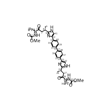 COC(=O)NN(C(=O)C[C@@H](C)c1nc(-c2ccc(-c3ccc(-c4c[nH]c([C@H](C)CC(=O)N(NC(=O)OC)C(C)C)n4)cc3)cc2)c[nH]1)C(C)C